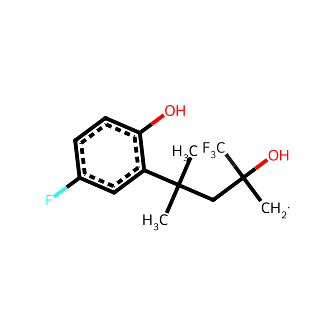 [CH2]C(O)(CC(C)(C)c1cc(F)ccc1O)C(F)(F)F